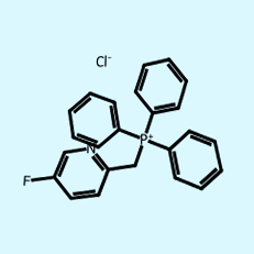 Fc1ccc(C[P+](c2ccccc2)(c2ccccc2)c2ccccc2)nc1.[Cl-]